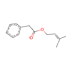 CC(C)=CCOC(=O)Cc1ccccc1